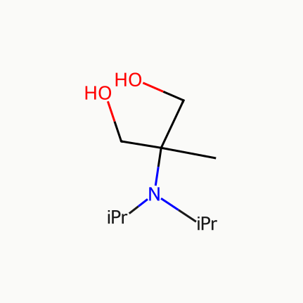 CC(C)N(C(C)C)C(C)(CO)CO